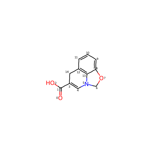 O=C(O)C1=CN2COc3cccc(c32)C1